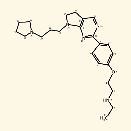 CCNCCOc1ccc(-c2ncc3c(n2)N(CCCN2CCCC2)CC3)cc1